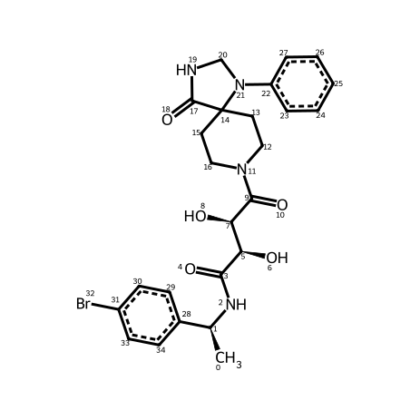 C[C@H](NC(=O)[C@H](O)[C@@H](O)C(=O)N1CCC2(CC1)C(=O)NCN2c1ccccc1)c1ccc(Br)cc1